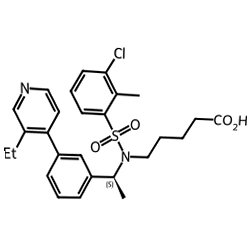 CCc1cnccc1-c1cccc([C@H](C)N(CCCCC(=O)O)S(=O)(=O)c2cccc(Cl)c2C)c1